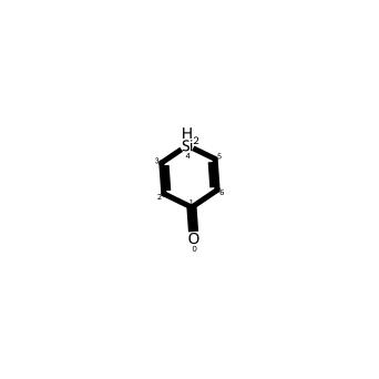 O=C1C=C[SiH2]C=C1